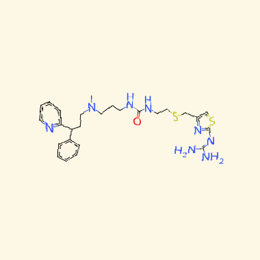 CN(CCCNC(=O)NCCSCc1csc(N=C(N)N)n1)CCC(c1ccccc1)c1ccccn1